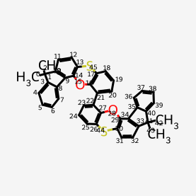 CC1(C)c2ccccc2-c2c1ccc1c2Oc2c(cccc2-c2cccc3c2Oc2c(ccc4c2-c2ccccc2C4(C)C)S3)S1